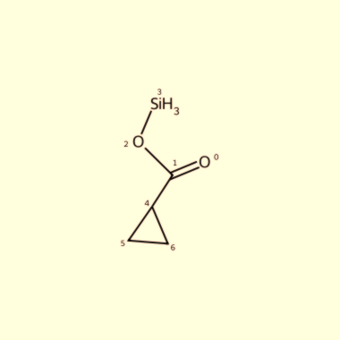 O=C(O[SiH3])C1CC1